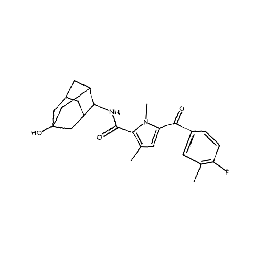 Cc1cc(C(=O)c2cc(C)c(C(=O)NC3C4CC5CC3CC(O)(C5)C4)n2C)ccc1F